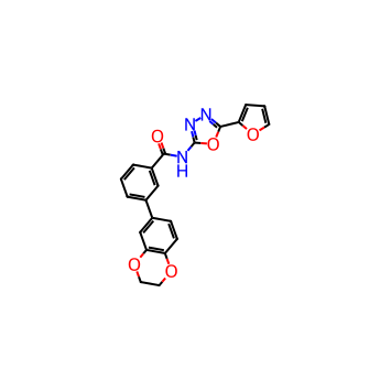 O=C(Nc1nnc(-c2ccco2)o1)c1cccc(-c2ccc3c(c2)OCCO3)c1